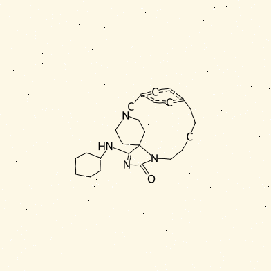 O=C1N=C(NC2CCCCC2)C23CCN(CC2)Cc2ccc(cc2)CCCCCN13